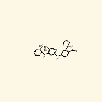 CC[C@]1(Nc2nc(Nc3ccc4c(c3)C3(CCCC3)NC4=O)ncc2Br)C=CC=CC1O